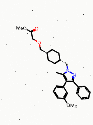 COC(=O)COC[C@H]1CC[C@H](Cn2nc(-c3ccccc3)c(-c3cccc(OC)c3)c2C)CC1